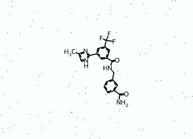 Cc1c[nH]c(-c2cc(C(=O)NCc3cccc(C(N)=O)c3)cc(C(F)(F)F)c2)n1